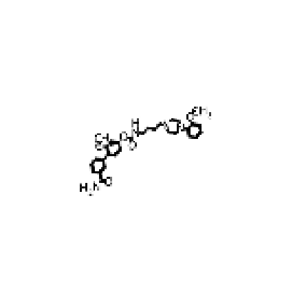 COc1cc(OC(=O)NCCCCN2CCN(c3ccccc3OC)CC2)ccc1-c1cccc(C(N)=O)c1